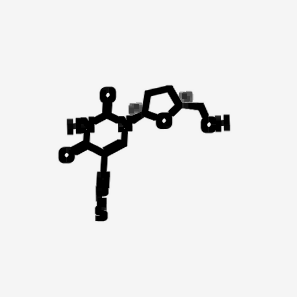 O=c1[nH]c(=O)n([C@H]2CC[C@@H](CO)O2)cc1C#P=S